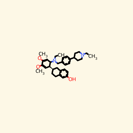 CCN1CCC(c2ccc(CN(CC)C3C=C(OC)C(OC)=CC3[C@@H]3CCc4cc(O)ccc4C3)cc2)CC1